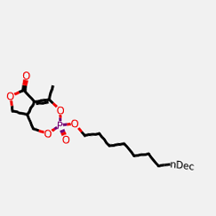 CCCCCCCCCCCCCCCCCOP1(=O)OCC2COC(=O)C2=C(C)O1